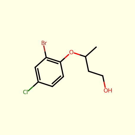 CC(CCO)Oc1ccc(Cl)cc1Br